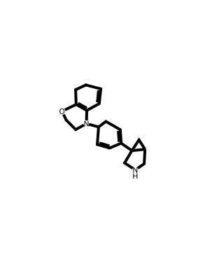 C1=CC2=C(CC1)OCCN2C1C=CC(C23CNCC2C3)=CC1